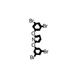 Brc1cc(Br)cc(Oc2cccc(Oc3cc(Br)cc(Br)c3)n2)c1